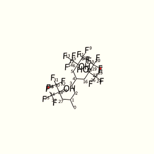 CC(CCC(CC(O)(C(F)(F)F)C(F)(F)F)CC(O)(C(F)(F)F)C(F)(F)F)CC(O)(C(F)(F)F)C(F)(F)F